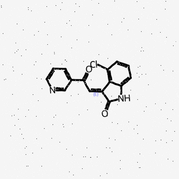 O=C1Nc2cccc(Cl)c2/C1=C\C(=O)c1cccnc1